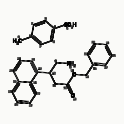 Cc1ccc(S(=O)(=O)O)cc1.NCC(CC(=O)OCc1ccccc1)c1cccc2ccccc12